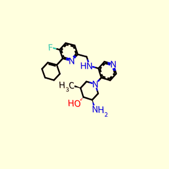 C[C@H]1CN(c2ccncc2NCc2ccc(F)c(C3=CCCCC3)n2)C[C@@H](N)[C@@H]1O